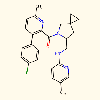 Cc1ccc(-c2ccc(F)cc2)c(C(=O)N2CC3(CC3)CC2CNc2ccc(C(F)(F)F)cn2)n1